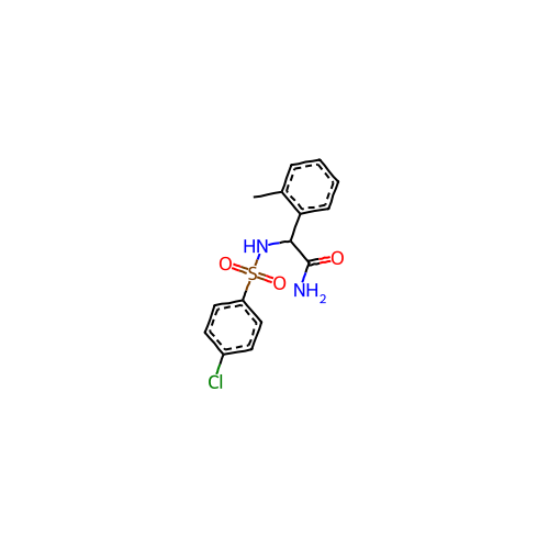 Cc1ccccc1C(NS(=O)(=O)c1ccc(Cl)cc1)C(N)=O